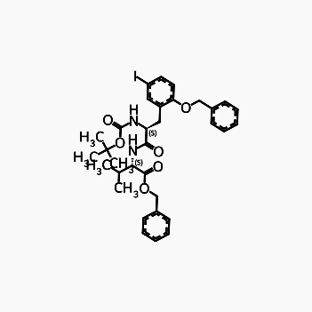 CC(C)[C@H](NC(=O)[C@H](Cc1cc(I)ccc1OCc1ccccc1)NC(=O)OC(C)(C)C)C(=O)OCc1ccccc1